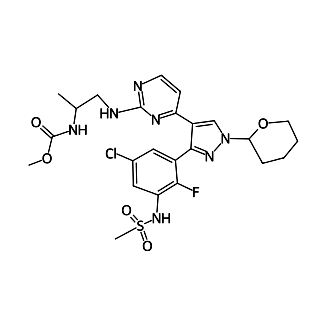 COC(=O)NC(C)CNc1nccc(-c2cn(C3CCCCO3)nc2-c2cc(Cl)cc(NS(C)(=O)=O)c2F)n1